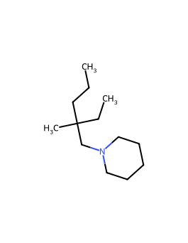 CCCC(C)(CC)CN1CCCCC1